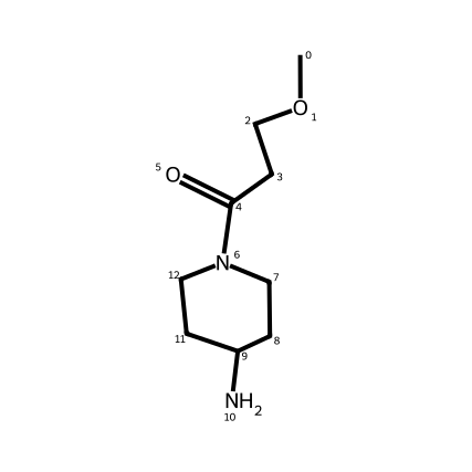 COCCC(=O)N1CCC(N)CC1